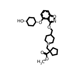 COC(=O)C1(CN2CCC(COc3noc4cccc(O[C@H]5CC[C@@H](O)CC5)c34)CC2)CCCC1